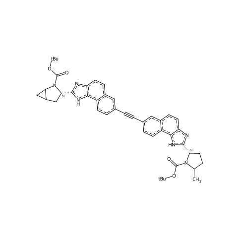 CC1CC[C@@H](c2nc3ccc4cc(C#Cc5ccc6c(ccc7nc([C@@H]8CC9CC9N8C(=O)OC(C)(C)C)[nH]c76)c5)ccc4c3[nH]2)N1C(=O)OC(C)(C)C